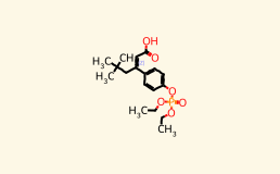 CCOP(=O)(OCC)Oc1ccc(/C(=C\C(=O)O)CC(C)(C)C)cc1